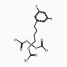 CCC(=O)O[Si](CCCCc1cc(F)cc(F)c1)(OC(=O)CC)OC(=O)CC